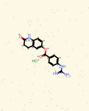 Cl.N=C(N)Nc1ccc(C(=O)Oc2ccc3c(c2)CCC(=O)N3)cc1